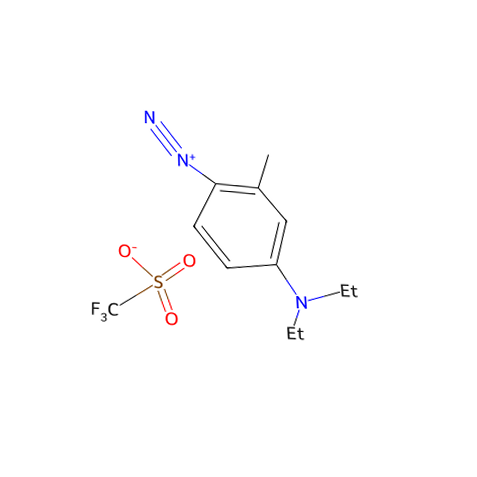 CCN(CC)c1ccc([N+]#N)c(C)c1.O=S(=O)([O-])C(F)(F)F